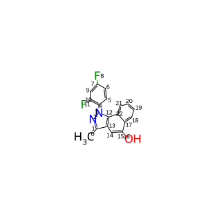 Cc1nn(-c2ccc(F)cc2F)c2c1cc(O)c1ccccc12